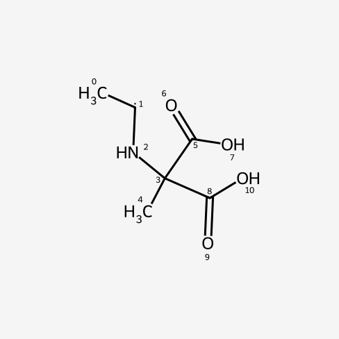 C[CH]NC(C)(C(=O)O)C(=O)O